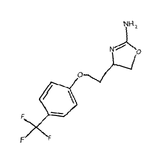 NC1=NC(COc2ccc(C(F)(F)F)cc2)CO1